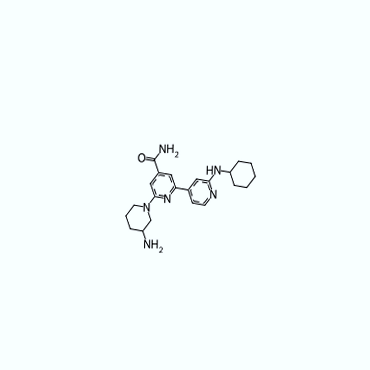 NC(=O)c1cc(-c2ccnc(NC3CCCCC3)c2)nc(N2CCCC(N)C2)c1